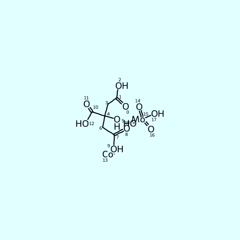 O=C(O)CC(O)(CC(=O)O)C(=O)O.[Co].[O]=[Mo](=[O])([OH])[OH]